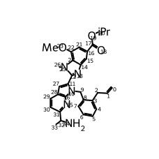 C=CCc1ccccc1Cn1c(-c2nc3cc(C(=O)OC(C)C)cc(OC)c3n2C)cc2ccc(C(C)N)nc21